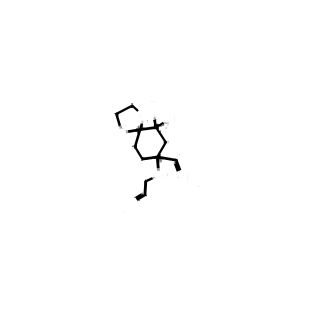 C=CCOC1(C=C)CCC2(OCCO2)C(C)(C)C1